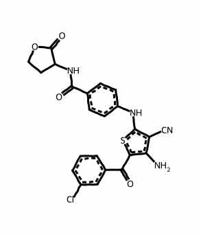 N#Cc1c(Nc2ccc(C(=O)NC3CCOC3=O)cc2)sc(C(=O)c2cccc(Cl)c2)c1N